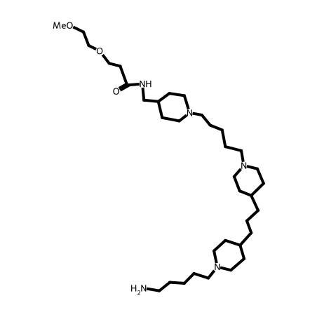 COCCOCCC(=O)NCC1CCN(CCCCCN2CCC(CCCC3CCN(CCCCCN)CC3)CC2)CC1